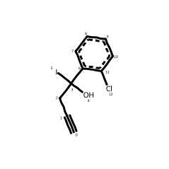 C#CCC(O)(I)c1ccccc1Cl